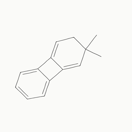 CC1(C)C=C2C(=CC1)c1ccccc12